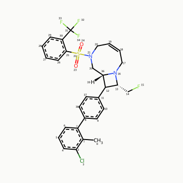 Cc1c(Cl)cccc1-c1ccc(C2[C@@H](CF)N3C/C=C\CN(S(=O)(=O)c4ccccc4C(F)(F)F)C[C@@H]23)cc1